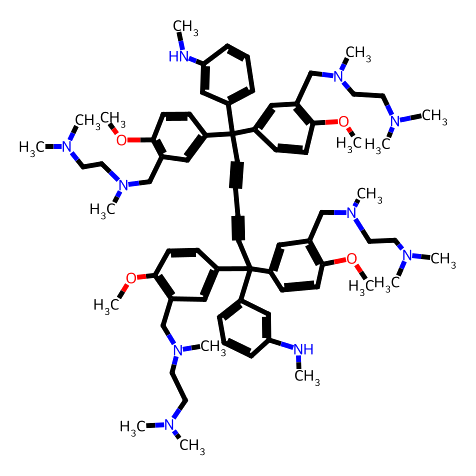 CNc1cccc(C(C#CC#CC(c2cccc(NC)c2)(c2ccc(OC)c(CN(C)CCN(C)C)c2)c2ccc(OC)c(CN(C)CCN(C)C)c2)(c2ccc(OC)c(CN(C)CCN(C)C)c2)c2ccc(OC)c(CN(C)CCN(C)C)c2)c1